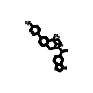 Cc1ccc(-c2ccc3c(c2)[C@]2(C)CCN(C(=O)c4ccc5nc[nH]c5c4)C(C3)C2C)nn1